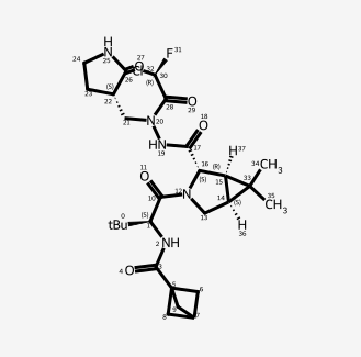 CC(C)(C)[C@H](NC(=O)C12CC(C1)C2)C(=O)N1C[C@H]2[C@@H]([C@H]1C(=O)NN(C[C@@H]1CCNC1=O)C(=O)[C@H](F)Cl)C2(C)C